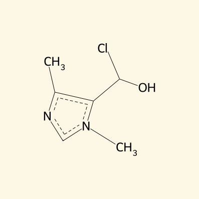 Cc1ncn(C)c1C(O)Cl